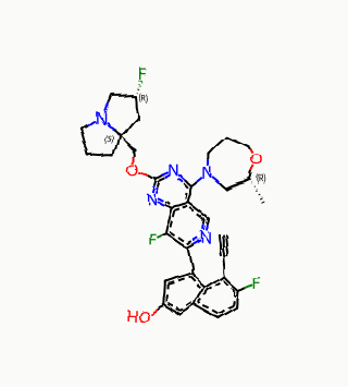 C#Cc1c(F)ccc2cc(O)cc(-c3ncc4c(N5CCCO[C@H](C)C5)nc(OC[C@@]56CCCN5C[C@H](F)C6)nc4c3F)c12